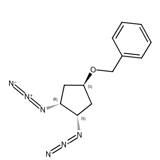 [N-]=[N+]=N[C@H]1C[C@H](OCc2ccccc2)C[C@H]1N=[N+]=[N-]